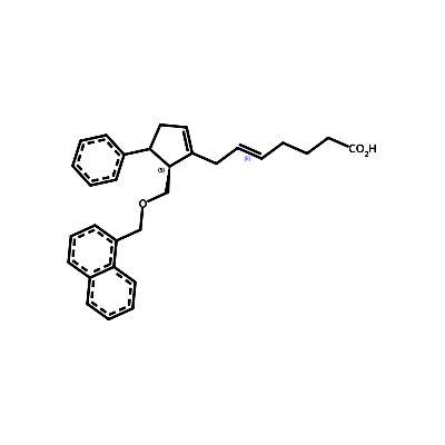 O=C(O)CCC/C=C/CC1=CCC(c2ccccc2)[C@@H]1COCc1cccc2ccccc12